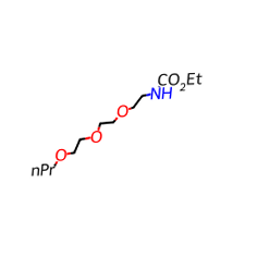 CCCOCCOCCOCCNC(=O)OCC